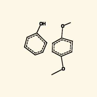 COc1ccc(OC)cc1.Oc1ccccc1